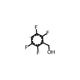 OCc1c(F)c(F)[c]c(F)c1F